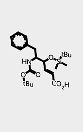 CC(C)(C)OC(=O)NC(Cc1ccccc1)C(/C=C/C(=O)O)O[Si](C)(C)C(C)(C)C